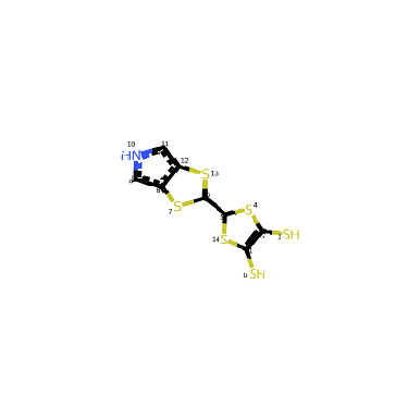 SC1=C(S)SC(C2Sc3c[nH]cc3S2)S1